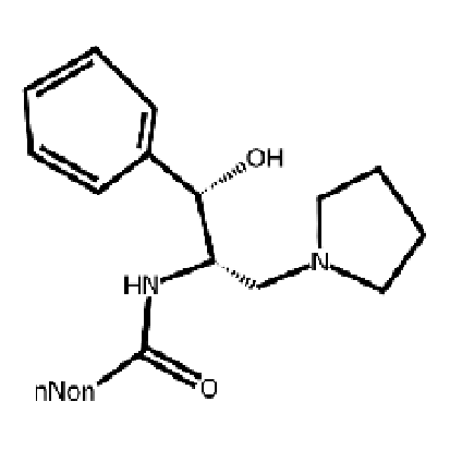 CCCCCCCCCC(=O)N[C@@H](CN1CCCC1)[C@@H](O)c1ccccc1